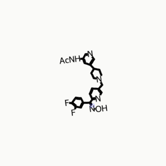 CC(=O)Nc1cncc(C2CCN(Cc3ccc(/C(=N\O)c4ccc(F)c(F)c4)nc3)CC2)c1